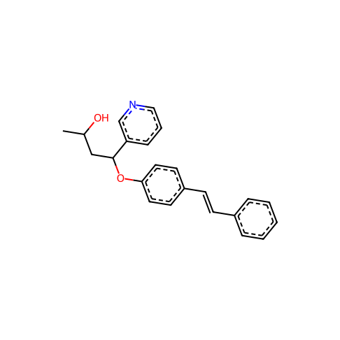 CC(O)CC(Oc1ccc(/C=C/c2ccccc2)cc1)c1cccnc1